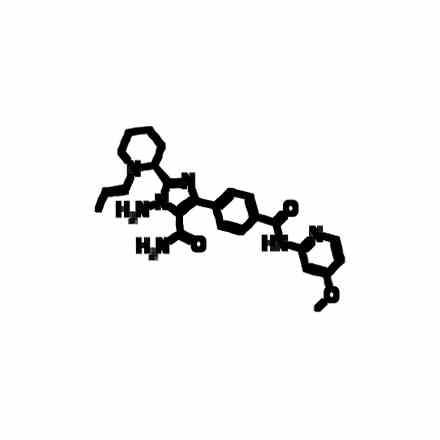 CC=CN1CCCC[C@H]1c1nc(-c2ccc(C(=O)Nc3cc(OC)ccn3)cc2)c(C(N)=O)n1N